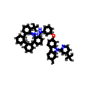 Cc1ccc2c3ccc(Oc4cccc(Nc5cccc6c5[nH]c5c(C(C)(C)C)cccc5c5ccccc5c5ccccc65)c4)cc3n(-c3cc(C(C)(C)C)ccn3)c2c1